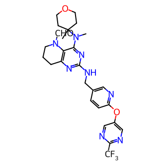 CN(c1nc(NCc2ccc(Oc3cnc(C(F)(F)F)nc3)nc2)nc2c1N(C=O)CCC2)C1(C)CCOCC1